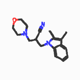 Cc1c(C)n(CC(C#N)CN2CCOCC2)c2ccccc12